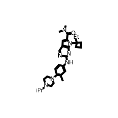 CCC1(n2c(C(=O)N(C)C)cc3cnc(Nc4ccc(N5CCN(C(C)C)CC5)c(C)c4)nc32)CCC1